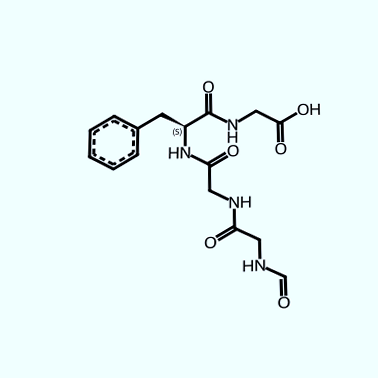 O=CNCC(=O)NCC(=O)N[C@@H](Cc1ccccc1)C(=O)NCC(=O)O